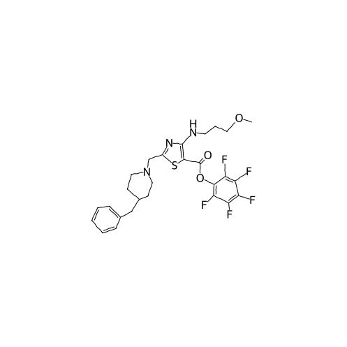 COCCCNc1nc(CN2CCC(Cc3ccccc3)CC2)sc1C(=O)Oc1c(F)c(F)c(F)c(F)c1F